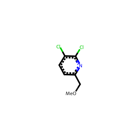 COCc1ccc(Cl)c(Cl)n1